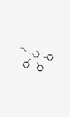 O=C(CCl)OC[C@H]1O[CH][C@H](OCc2ccccc2)[C@@H](OCc2ccccc2)[C@@H]1OCc1ccccc1